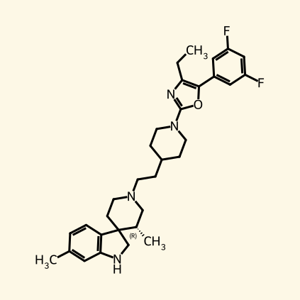 CCc1nc(N2CCC(CCN3CCC4(CNc5cc(C)ccc54)[C@@H](C)C3)CC2)oc1-c1cc(F)cc(F)c1